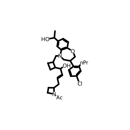 CCCc1cc(Cl)ccc1C1COc2ccc(C(C)O)cc2N(CC2CCC2C(O)/C=C/CC2CCN2C(C)=O)C1